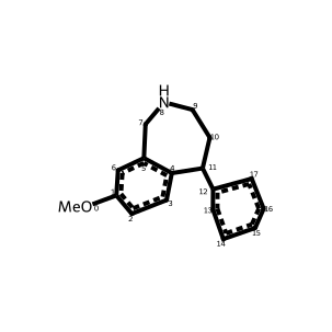 COc1ccc2c(c1)CNCCC2c1ccccc1